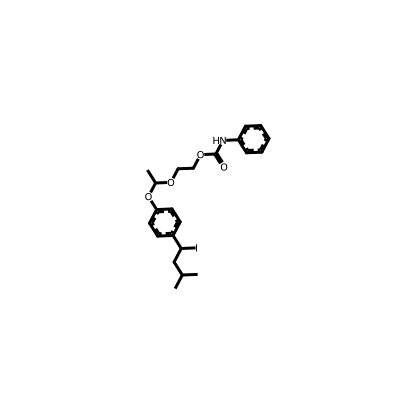 CC(C)CC(I)c1ccc(OC(C)OCCOC(=O)Nc2ccccc2)cc1